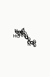 CCOc1cn(-c2cnccc2CO)nc1C(=O)Nc1ccc(Oc2ccnc3cc(OC)c(OC)cc23)cn1